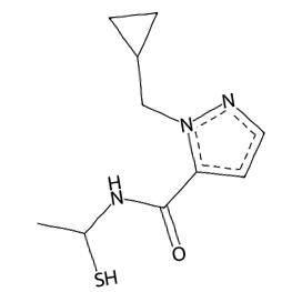 CC(S)NC(=O)c1ccnn1CC1CC1